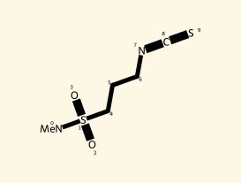 CNS(=O)(=O)CCCN=C=S